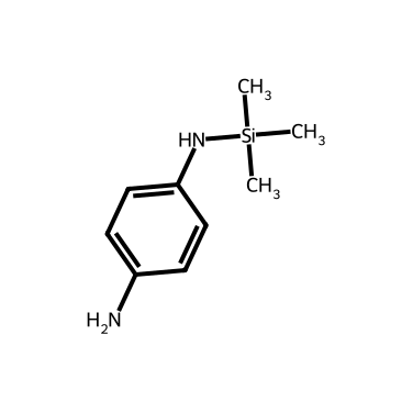 C[Si](C)(C)Nc1ccc(N)cc1